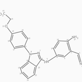 N=Cc1cc(Nc2nn(-c3ccc(OCC(=O)O)cc3)c3ccccc23)ccc1N